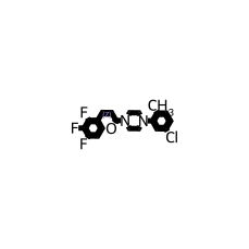 Cc1ccc(Cl)cc1N1CCN(C(=O)/C=C\c2ccc(F)c(F)c2F)CC1